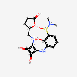 CN(C)[S+]([O-])c1cccc(Nc2c(NC[C@H]3CCC(=O)O3)c(=O)c2=O)c1O